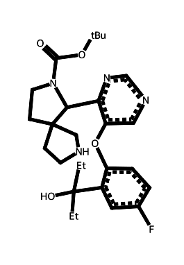 CCC(O)(CC)c1cc(F)ccc1Oc1cncnc1C1N(C(=O)OC(C)(C)C)CCC12CCNC2